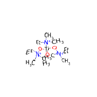 CC[N+](C)(C)[O][Ti](=[O])([O][N+](C)(C)CC)[N+](C)(C)CC